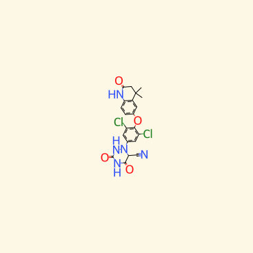 CC1(C)CC(=O)Nc2ccc(Oc3c(Cl)cc(N4NC(=O)NC(=O)C4C#N)cc3Cl)cc21